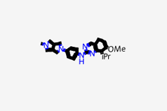 COC1=CCc2cnc(Nc3ccc(N4CC5=CN(C)CC5C4)cc3)nc2C1C(C)C